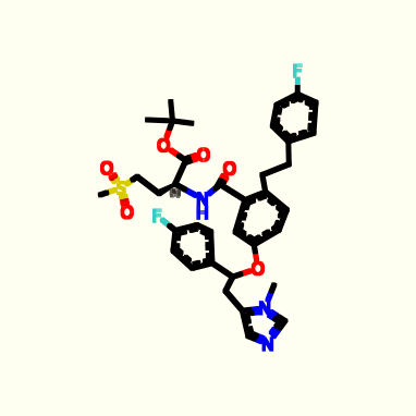 Cn1cncc1CC(Oc1ccc(CCc2ccc(F)cc2)c(C(=O)N[C@@H](CCS(C)(=O)=O)C(=O)OC(C)(C)C)c1)c1ccc(F)cc1